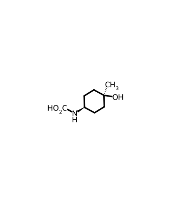 C[C@]1(O)CC[C@@H](NC(=O)O)CC1